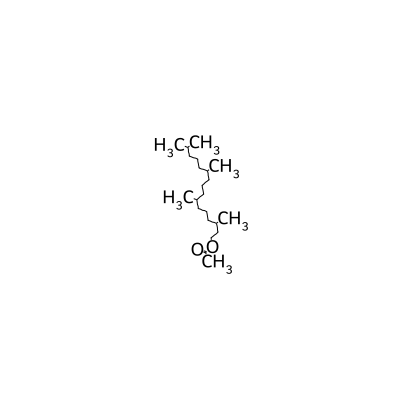 CC(=O)OCCC(C)CCCC(C)CCCC(C)CCCC(C)C